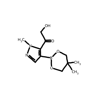 Cn1ncc(B2OCC(C)(C)CO2)c1C(=O)CO